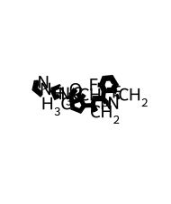 C=C/N=N\C(=C/C(=C)C1CC[C@](C)(C(=O)N2CC(n3cccn3)C2)C1(C)C)c1c(F)cccc1F